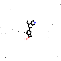 CCC(CC(C)c1ccc2c(c1)CC2O)c1ccncc1